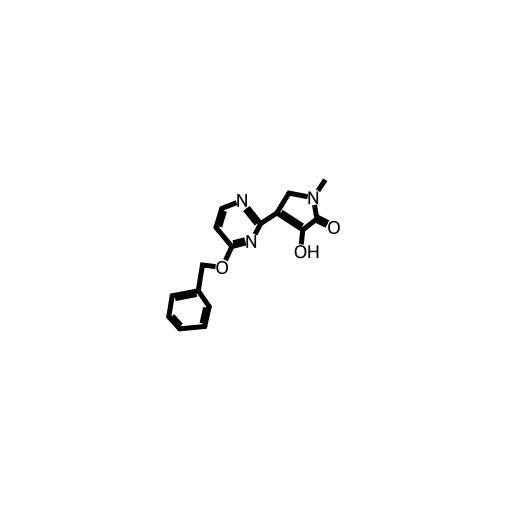 CN1CC(c2nccc(OCc3ccccc3)n2)=C(O)C1=O